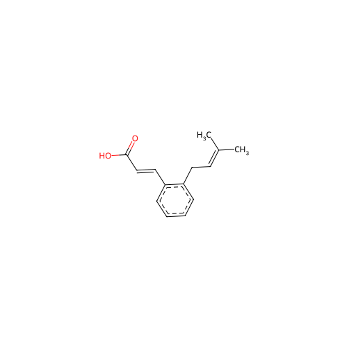 CC(C)=CCc1ccccc1/C=C/C(=O)O